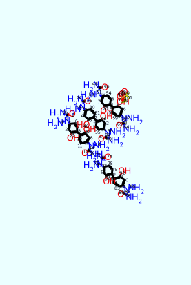 NC(=O)N(N)c1ccc(-c2ccc(N(N)C(N)=O)cc2O)c(O)c1.NC(=O)N(N)c1ccc(-c2ccc(N(N)C(N)=O)cc2O)c(O)c1.NC(=O)N(N)c1ccc(-c2ccc(N(N)C(N)=O)cc2O)c(O)c1.NC(=O)N(N)c1ccc(-c2ccc(N(N)C(N)=O)cc2O)c(O)c1.O=S.O=S.O=S